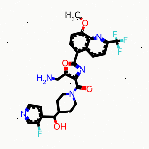 COc1ccc(-c2nc(C(=O)N3CCC(C(O)c4ccncc4F)CC3)c(CN)o2)c2ccc(C(F)(F)F)nc12